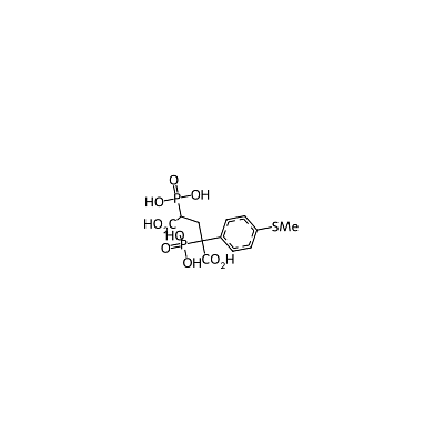 CSc1ccc(C(CC(C(=O)O)P(=O)(O)O)(C(=O)O)P(=O)(O)O)cc1